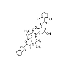 CC(C)[C@H](NC(=O)c1cc2ccccc2o1)C1=NOC(C)(C(=O)N[C@@H](CC(=O)O)C(=O)COC(=O)c2c(Cl)cccc2Cl)C1